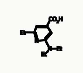 CCc1cc(C(=O)O)cc(N(CC)CC)n1